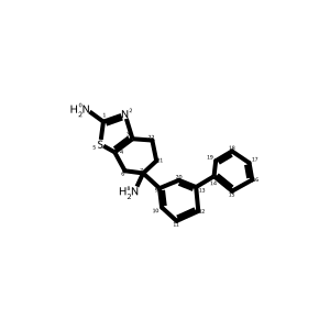 Nc1nc2c(s1)CC(N)(c1cccc(-c3ccccc3)c1)CC2